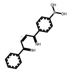 N=C(/C=C\C(=N)c1ccc(B(O)O)cc1)c1ccccc1